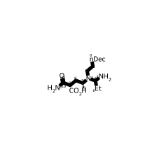 CCCCCCCCCCCCN(C(N)CC)[C@@H](CCC(N)=O)C(=O)O